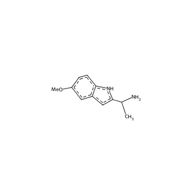 COc1ccc2[nH]c(C(C)N)cc2c1